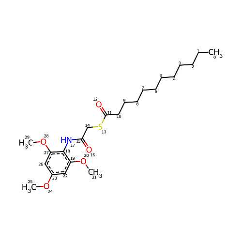 CCCCCCCCCCCC(=O)SCC(=O)Nc1c(OC)cc(OC)cc1OC